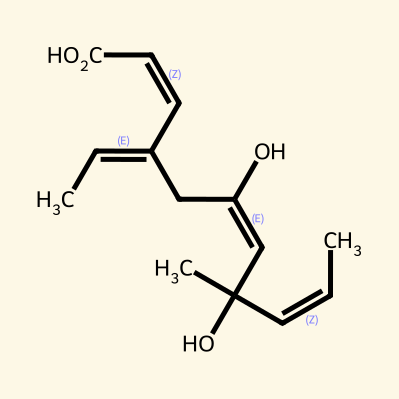 C/C=C\C(C)(O)/C=C(/O)CC(/C=C\C(=O)O)=C\C